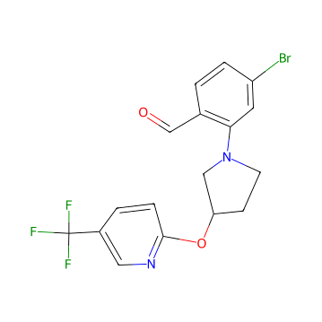 O=Cc1ccc(Br)cc1N1CCC(Oc2ccc(C(F)(F)F)cn2)C1